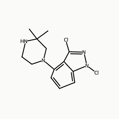 CC1(C)CN(c2cccc3c2c(Cl)nn3Cl)CCN1